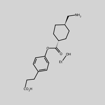 CCO.NC[C@H]1CC[C@H](C(=O)Oc2ccc(CCC(=O)O)cc2)CC1